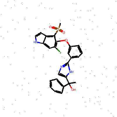 CC(O)(c1ccccc1)c1cnc(-c2cccc(Oc3c(F)cc4[nH]ccc4c3S(C)(=O)=O)c2)[nH]1